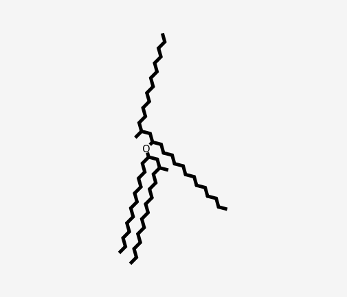 CCCCCCCCCCCCCC(C)CC(CCCCCCCCCCCCC)OC(CCCCCCCCCCCCC)CC(C)CCCCCCCCCCCCC